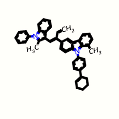 C=C/C(=C\c1c(C)n(-c2ccccc2)c2ccccc12)C1=C=C=c2c(c3cccc(C)c3n2-c2ccc(C3=CCCCC3)cc2)=C1